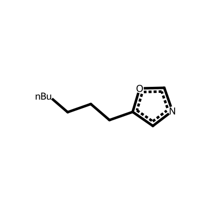 CCCCCCCc1cnco1